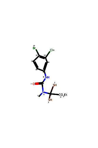 CCOC(=O)C(S)(S)N(C)C(=O)Nc1ccc(Br)c(Cl)c1